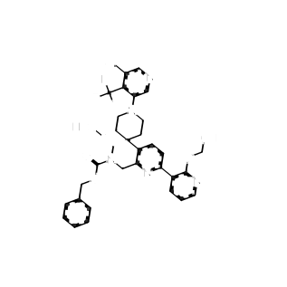 CCOc1ncccc1-c1ccc2c(n1)CN(C(=O)OCc1ccccc1)C[C@]21CCN(c2cncc(Cl)c2C(F)(F)F)C[C@H]1CC